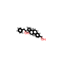 C[C@]12CC[C@@H]3c4ccc(CO)cc4CC[C@H]3[C@@H]1CC[C@@H]2C(O)Cc1ccccc1